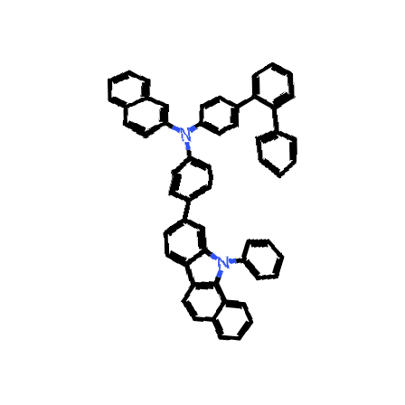 c1ccc(-c2ccccc2-c2ccc(N(c3ccc(-c4ccc5c6ccc7ccccc7c6n(-c6ccccc6)c5c4)cc3)c3ccc4ccccc4c3)cc2)cc1